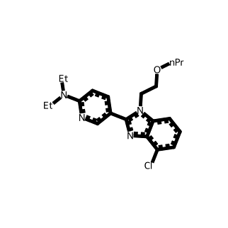 CCCOCCn1c(-c2ccc(N(CC)CC)nc2)nc2c(Cl)cccc21